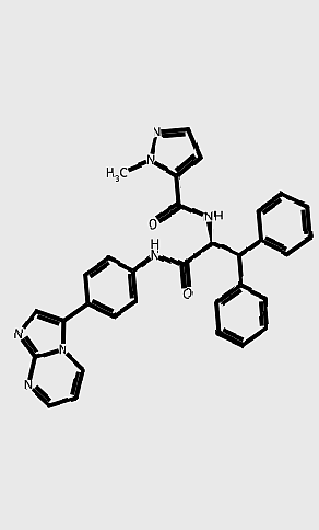 Cn1nccc1C(=O)N[C@H](C(=O)Nc1ccc(-c2cnc3ncccn23)cc1)C(c1ccccc1)c1ccccc1